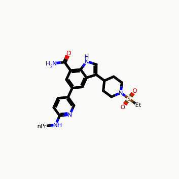 CCCNc1ccc(-c2cc(C(N)=O)c3[nH]cc(C4CCN(S(=O)(=O)CC)CC4)c3c2)cn1